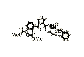 COC(=O)Oc1cccc(C(=O)N2COCC2C(=O)N[C@@H](CCC(=O)O)C(=O)OCc2ccccc2)c1OC(=O)OC